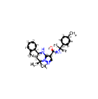 CCC(CC)(NC(=O)c1cnn2c1NC(c1ccccc1OC)CC2(C)C)c1ccc(C)cc1